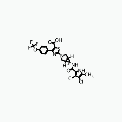 Cc1[nH]c(C(=O)N[C@@H]2[C@@H]3CN(c4nc(-c5ccc(OC(F)(F)F)cc5)c(C(=O)O)s4)C[C@@H]32)c(Cl)c1Cl